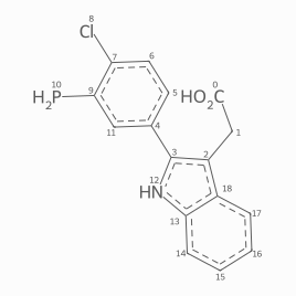 O=C(O)Cc1c(-c2ccc(Cl)c(P)c2)[nH]c2ccccc12